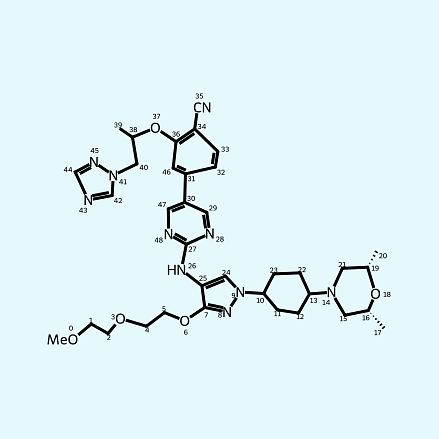 COCCOCCOc1nn(C2CCC(N3C[C@@H](C)O[C@@H](C)C3)CC2)cc1Nc1ncc(-c2ccc(C#N)c(OC(C)Cn3cncn3)c2)cn1